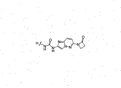 CNC(=O)Nc1cn2nc(N3CCC3=O)ccc2n1